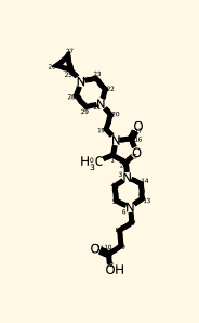 CC1C(N2CCN(CCCC(=O)O)CC2)OC(=O)N1CCN1CCN(C2CC2)CC1